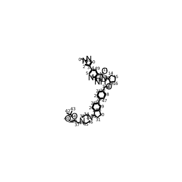 Cn1cc(-c2cnc(N)c(C(=O)N[C@H]3CCC[C@@H]3OCc3ccc(-c4ccc5c(c4)CCC5N4CCN(CC5COC(C)(C)O5)CC4)cc3)c2)cn1